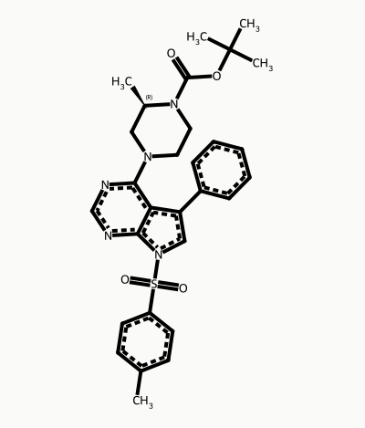 Cc1ccc(S(=O)(=O)n2cc(-c3ccccc3)c3c(N4CCN(C(=O)OC(C)(C)C)[C@H](C)C4)ncnc32)cc1